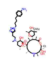 CC[C@H]1OC(=O)[C@H](C)C([C@H]2C[C@@](C)(OC)[C@@H](O)[C@H](C)O2)[C@H](C)[C@@H](O[C@@H]2O[C@H](C)C[C@H](N(C)CCc3cn(CCCCc4ccc(N)cc4)nn3)[C@H]2O)[C@](C)(O)C[C@@H](C)CN(C)[C@H](C)[C@@H](O)[C@]1(C)O